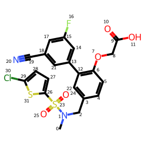 CN(Cc1ccc(OCC(=O)O)c(-c2cc(F)cc(C#N)c2)c1)S(=O)(=O)c1ccc(Cl)s1